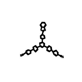 N#Cc1ccc(-c2ccc(-c3cc(-c4ccc(-c5ccc(C#N)cc5)cc4)cc(-c4ccc(-c5nc6ccccc6s5)cc4)c3)cc2)cc1